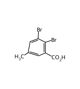 Cc1cc(Br)c(Br)c(C(=O)O)c1